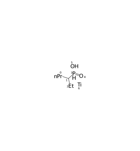 CCCC(CC)[PH](=O)O.[Ti]